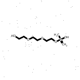 C=P(C)(O)OCCOCCOCCO